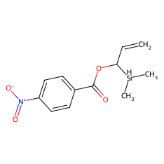 C=CC(OC(=O)c1ccc([N+](=O)[O-])cc1)[SiH](C)C